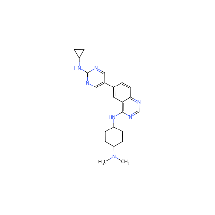 CN(C)C1CCC(Nc2ncnc3ccc(-c4cnc(NC5CC5)nc4)cc23)CC1